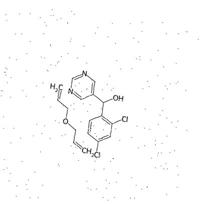 C=CCOCC=C.OC(c1cncnc1)c1ccc(Cl)cc1Cl